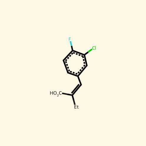 CCC(=Cc1ccc(F)c(Cl)c1)C(=O)O